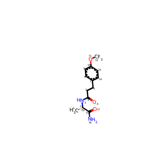 C[C@H](NC(=O)CCc1ccc(OC(F)(F)F)cc1)C(N)=O